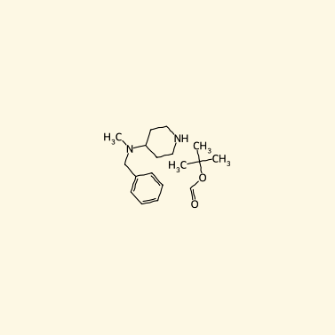 CC(C)(C)OC=O.CN(Cc1ccccc1)C1CCNCC1